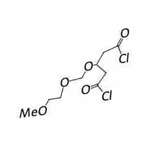 COCCOCOC(CC(=O)Cl)CC(=O)Cl